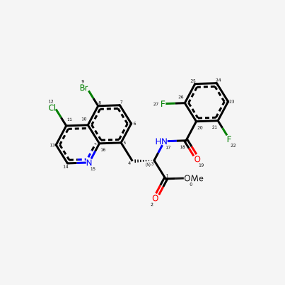 COC(=O)[C@H](Cc1ccc(Br)c2c(Cl)ccnc12)NC(=O)c1c(F)cccc1F